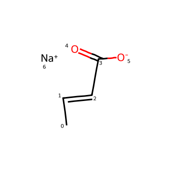 CC=CC(=O)[O-].[Na+]